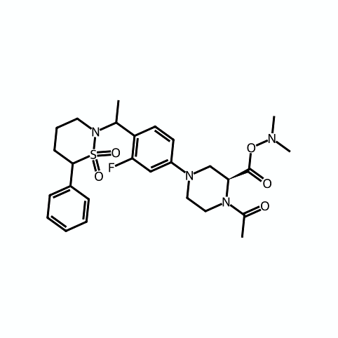 CC(=O)N1CCN(c2ccc(C(C)N3CCCC(c4ccccc4)S3(=O)=O)c(F)c2)C[C@H]1C(=O)ON(C)C